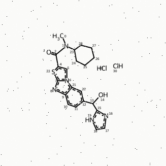 CN(C(=O)c1cn2c(nc3ccc(C(O)c4ncc[nH]4)cc32)s1)C1CCCCC1.Cl.Cl